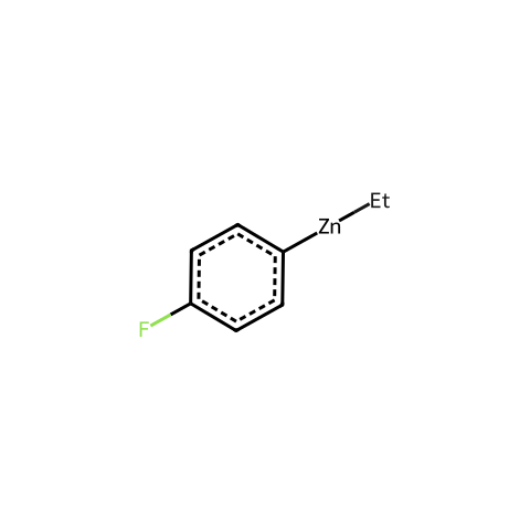 C[CH2][Zn][c]1ccc(F)cc1